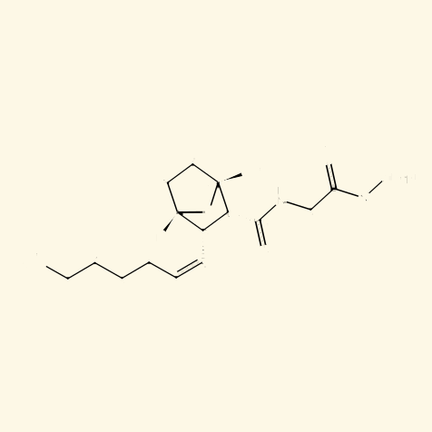 CCCCCCCNC(=O)CNC(=O)[C@@H]1[C@H](/C=C\CCCCC(=O)O)[C@@H]2CC[C@H]1O2